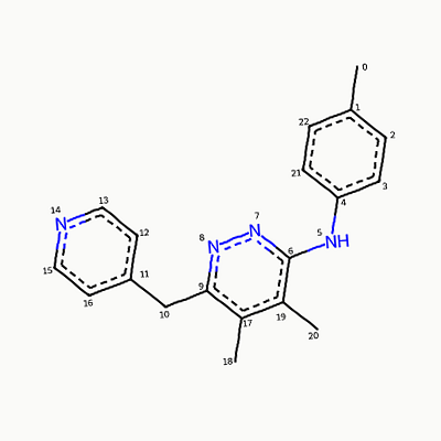 Cc1ccc(Nc2nnc(Cc3ccncc3)c(C)c2C)cc1